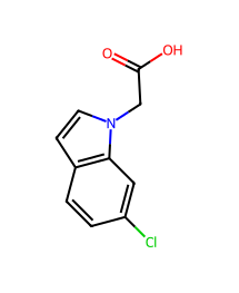 O=C(O)Cn1ccc2ccc(Cl)cc21